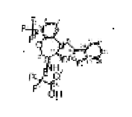 N[C@H]1COc2c(cccc2C(F)(F)F)N(Cc2noc3ccccc23)C1=O.O=C(O)C(F)(F)F